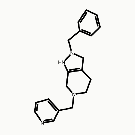 c1ccc(CN2CC3=C(CN(Cc4cccnc4)CC3)N2)cc1